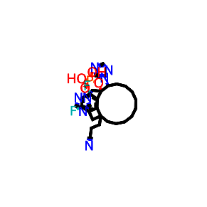 N#CCCC12CCCCCCCCCC(n3cncn3)C(Cn3cncn3)(OP(=O)(O)O)c3c(F)cc(F)c(c31)C2